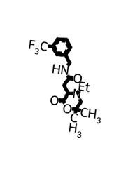 CCN1CC(C)(C)OC(=O)C1CC(=O)NCc1cccc(C(F)(F)F)c1